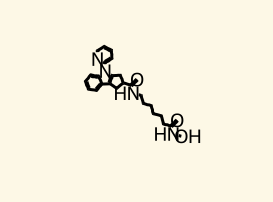 O=C(CCCCCCNC(=O)C1Cc2c(n(-c3ccccn3)c3ccccc23)C1)NO